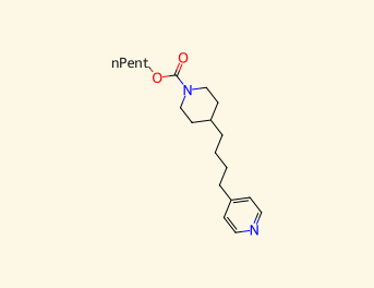 CCCCCOC(=O)N1CCC(CCCCc2ccncc2)CC1